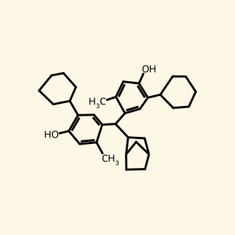 Cc1cc(O)c(C2CCCCC2)cc1C(c1cc(C2CCCCC2)c(O)cc1C)C1CC2CCC1C2